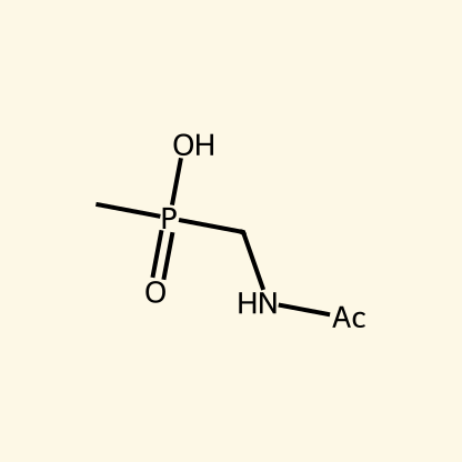 CC(=O)NCP(C)(=O)O